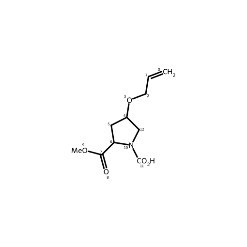 C=CCOC1CC(C(=O)OC)N(C(=O)O)C1